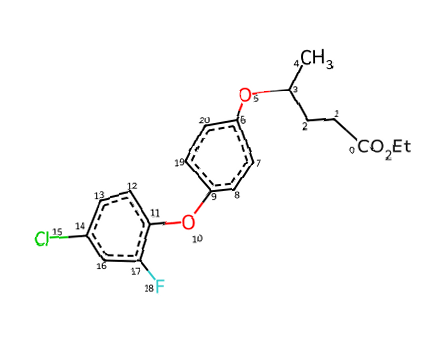 CCOC(=O)CCC(C)Oc1ccc(Oc2ccc(Cl)cc2F)cc1